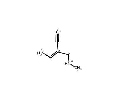 C#CC(=CN)CNC